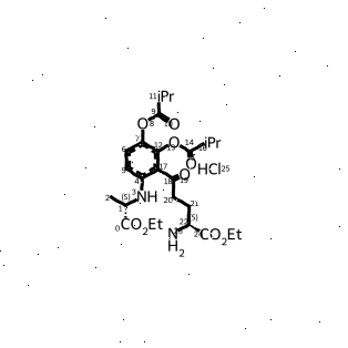 CCOC(=O)[C@H](C)Nc1ccc(OC(=O)C(C)C)c(OC(=O)C(C)C)c1C(=O)CC[C@H](N)C(=O)OCC.Cl